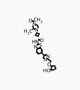 CC(=O)N1CCN([C@H]2C[C@@H](C(=O)Nc3nc4ccc(-c5cnc(CO[C@H]6CCC[C@@H]6O)nc5)cc4s3)C2)[C@@H](C)C1